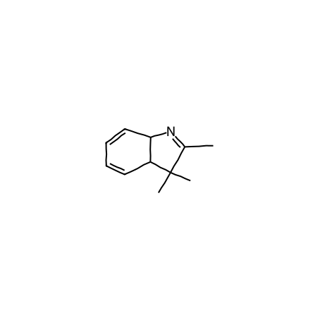 CC1=NC2C=CC=CC2C1(C)C